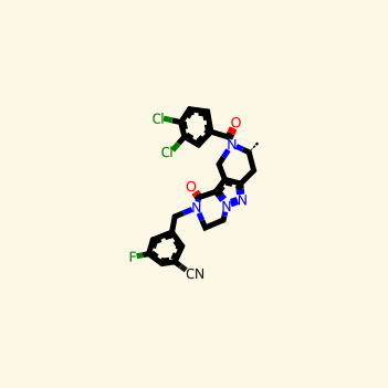 C[C@@H]1Cc2nn3c(c2CN1C(=O)c1ccc(Cl)c(Cl)c1)C(=O)N(Cc1cc(F)cc(C#N)c1)CC3